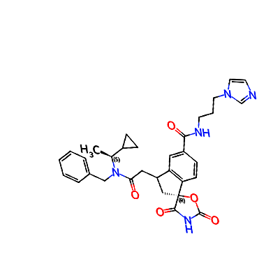 C[C@@H](C1CC1)N(Cc1ccccc1)C(=O)CC1C[C@@]2(OC(=O)NC2=O)c2ccc(C(=O)NCCCn3ccnc3)cc21